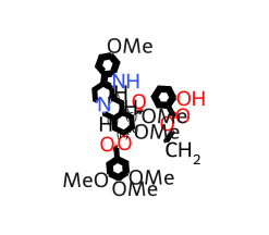 C=CCOC(=O)c1ccccc1O.COC(=O)[C@H]1[C@H]2C[C@@H]3c4[nH]c5cc(OC)ccc5c4CCN3C[C@H]2C[C@@H](OC(=O)c2cc(OC)c(OC)c(OC)c2)[C@@H]1OC